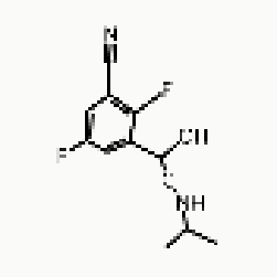 CC(C)NCC(O)c1cc(F)cc(C#N)c1F